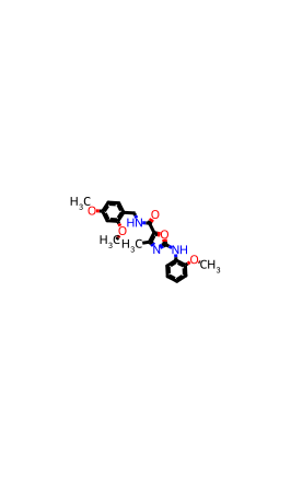 COc1ccc(CNC(=O)c2oc(Nc3ccccc3OC)nc2C)c(OC)c1